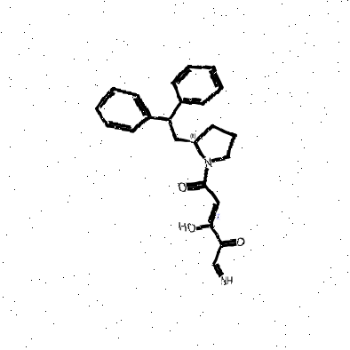 N=CC(=O)/C(O)=C/C(=O)N1CCC[C@@H]1CC(c1ccccc1)c1ccccc1